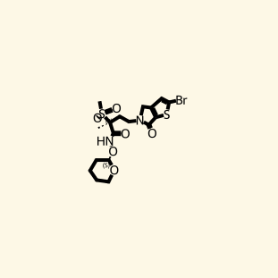 C[C@](CCN1Cc2cc(Br)sc2C1=O)(C(=O)NO[C@H]1CCCCO1)S(C)(=O)=O